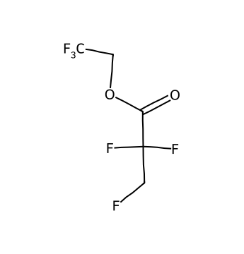 O=C(OCC(F)(F)F)C(F)(F)CF